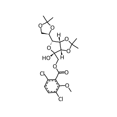 COc1c(Cl)ccc(Cl)c1C(=O)OC[C@]1(O)O[C@H]([C@H]2COC(C)(C)O2)[C@@H]2OC(C)(C)O[C@@H]21